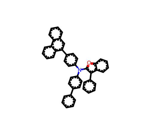 c1ccc(-c2ccc(N(c3ccc(-c4cc5ccccc5c5ccccc45)cc3)c3oc4ccccc4c3-c3ccccc3)cc2)cc1